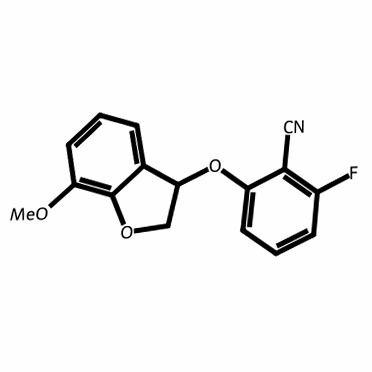 COc1cccc2c1OCC2Oc1cccc(F)c1C#N